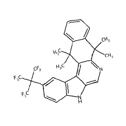 CC1(C)c2ccccc2C(C)(C)c2c1ncc1[nH]c3ccc(C(C(F)(F)F)(C(F)(F)F)C(F)(F)F)cc3c21